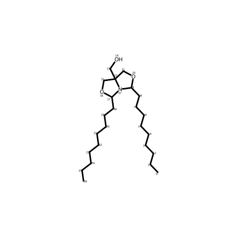 CCCCCCCCCC1OCC2(CO)COC(CCCCCCCCC)N12